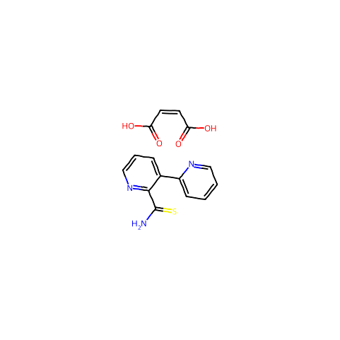 NC(=S)c1ncccc1-c1ccccn1.O=C(O)/C=C\C(=O)O